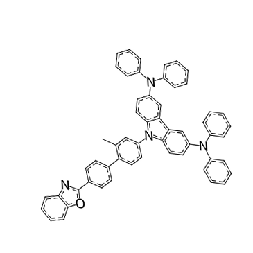 Cc1cc(-n2c3ccc(N(c4ccccc4)c4ccccc4)cc3c3cc(N(c4ccccc4)c4ccccc4)ccc32)ccc1-c1ccc(-c2nc3ccccc3o2)cc1